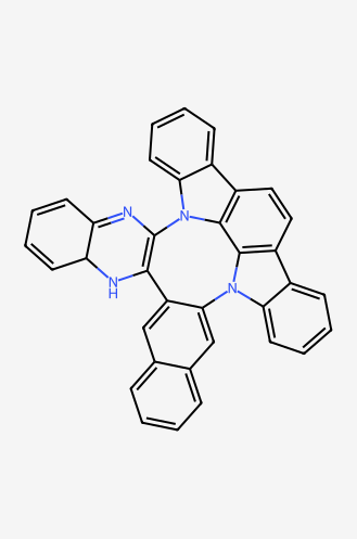 C1=CC2=Nc3c(c4cc5ccccc5cc4n4c5ccccc5c5ccc6c7ccccc7n3c6c54)NC2C=C1